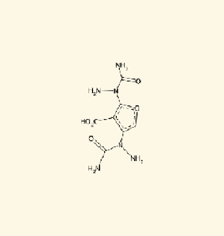 NC(=O)N(N)c1coc(N(N)C(N)=O)c1C(=O)O